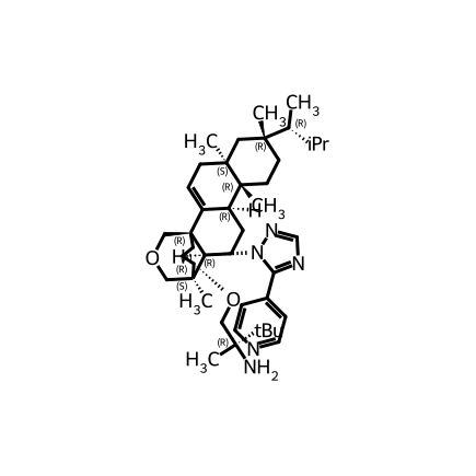 CC(C)[C@@H](C)[C@]1(C)CC[C@]2(C)[C@H]3CC[C@@H]4[C@@]5(COC[C@@]4(C)[C@@H](OC[C@](C)(N)C(C)(C)C)[C@H](n4ncnc4-c4ccncc4)C5)C3=CC[C@@]2(C)C1